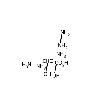 N.N.N.NN.O=C(O)O.O=CO